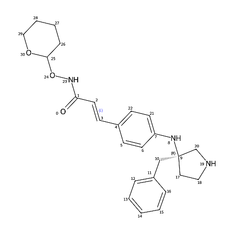 O=C(/C=C/c1ccc(N[C@]2(Cc3ccccc3)CCNC2)cc1)NOC1CCCCO1